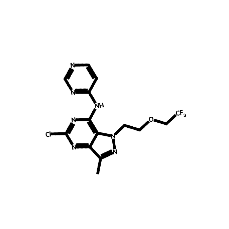 Cc1nn(CCOCC(F)(F)F)c2c(Nc3ccncn3)nc(Cl)nc12